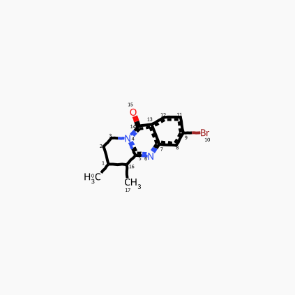 CC1CCn2c(nc3cc(Br)ccc3c2=O)C1C